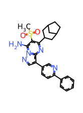 CS(=O)(=O)c1c(C2CC3CCC(C3)C2)nc2c(-c3ccc(-c4ccccc4)nc3)cnn2c1N